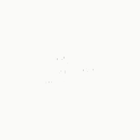 CCCCCCCCOP(=O)(OCC)OCCCCCCCC.[Ti]